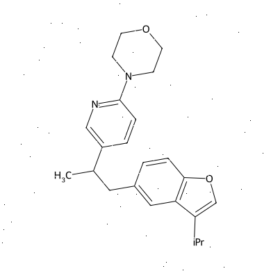 CC(C)c1coc2ccc(CC(C)c3ccc(N4CCOCC4)nc3)cc12